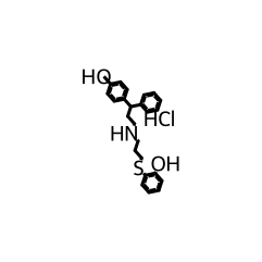 Cl.Oc1ccc(C(CCNCCCSc2ccccc2O)c2ccccc2)cc1